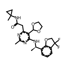 Cc1nc(CC(=O)NC2(C)CC2)c(C2OCCO2)c(N[C@H](C)c2cccc3c2OCC3(F)F)n1